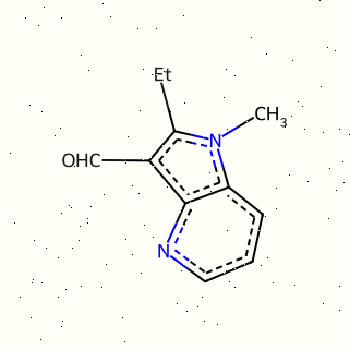 CCc1c(C=O)c2ncccc2n1C